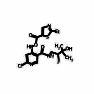 CCc1ncc(C(=O)ONc2cc(Cl)ncc2C(=O)NCC(F)C(C)(C)O)s1